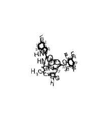 CC(C)CCC(NC(=O)c1cc2cc(F)ccc2[nH]1)C(=O)N[C@@H](C[C@@H]1CCNC1=O)C(=O)COc1c(F)c(F)cc(F)c1F